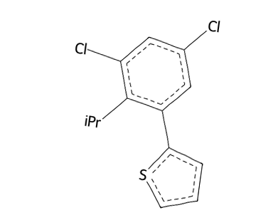 CC(C)c1c(Cl)cc(Cl)cc1-c1cccs1